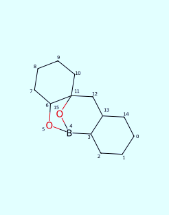 C1CCC2B3OC4CCCCC4(CC2C1)O3